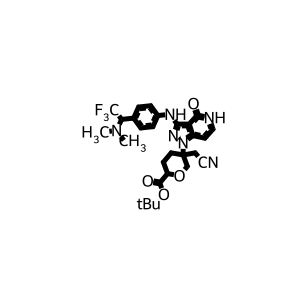 CN(C)C(c1ccc(Nc2nn(C3(CC#N)CCC(C(=O)OC(C)(C)C)OC3)c3cc[nH]c(=O)c23)cc1)C(F)(F)F